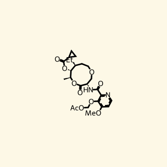 CC[C@H]1CCOC[C@H](NC(=O)c2nccc(OC)c2OCOC(C)=O)C(=O)O[C@@H](C)[C@@H]1OC(=O)C1CC1